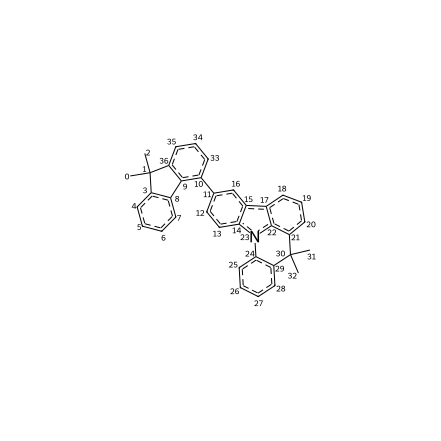 CC1(C)c2ccccc2-c2c(-c3ccc4c(c3)c3cccc5c3n4-c3ccccc3C5(C)C)cccc21